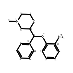 CN1CCOC(C(Oc2ccccc2[N+](=O)[O-])c2ccccc2)C1